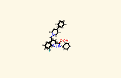 O=C(N[C@H]1CCCC[C@@H]1O)c1cc(CN2CCC(c3ccccc3)CC2)c2cccc(F)c2n1